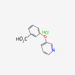 Cl.O=C(O)c1cccc(Oc2cccnc2)c1